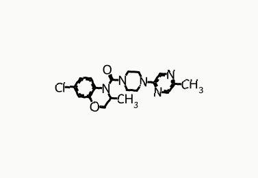 Cc1cnc(N2CCN(C(=O)N3c4ccc(Cl)cc4OCC3C)CC2)cn1